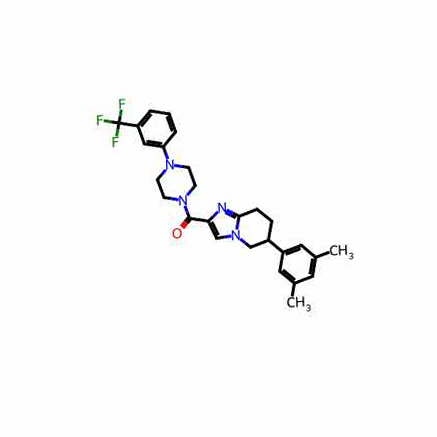 Cc1cc(C)cc(C2CCc3nc(C(=O)N4CCN(c5cccc(C(F)(F)F)c5)CC4)cn3C2)c1